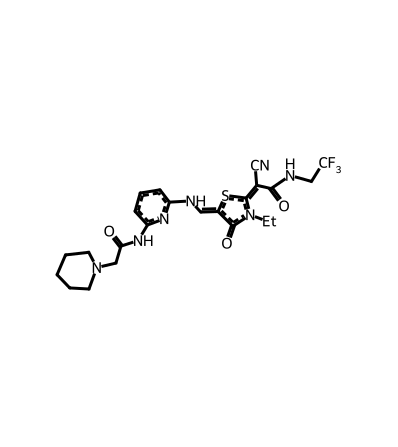 CCn1c(=C(C#N)C(=O)NCC(F)(F)F)sc(=CNc2cccc(NC(=O)CN3CCCCC3)n2)c1=O